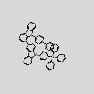 c1ccc(-c2ccc(-n3c4ccccc4c4cccc(-c5ccc6c(c5)c5ccccc5n6-c5ccc([Si](c6ccccc6)(c6ccccc6)c6ccccc6)cc5)c43)cc2)cc1